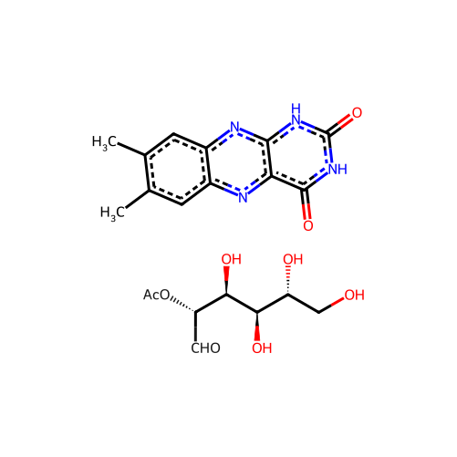 CC(=O)O[C@@H](C=O)[C@@H](O)[C@H](O)[C@H](O)CO.Cc1cc2nc3[nH]c(=O)[nH]c(=O)c3nc2cc1C